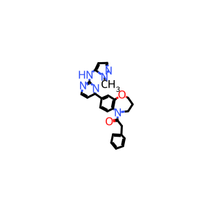 Cn1nccc1Nc1nccc(-c2ccc3c(c2)OCCCN3C(=O)Cc2ccccc2)n1